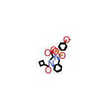 COC(=O)C1CN(C(=O)C2CCC2)c2ccccc2CN1S(=O)(=O)c1ccc(OC)cc1